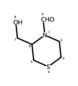 O=CN1CCSCC1CO